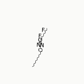 CCCCCCCCCCc1ccc(-c2ncc(OCC(F)CCCC(F)CC)cn2)cc1